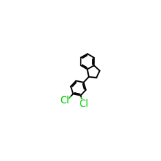 Clc1ccc(C2CCc3ccccc32)cc1Cl